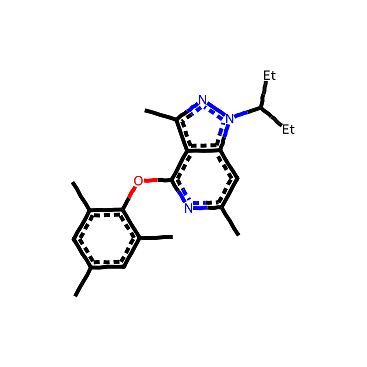 CCC(CC)n1nc(C)c2c(Oc3c(C)cc(C)cc3C)nc(C)cc21